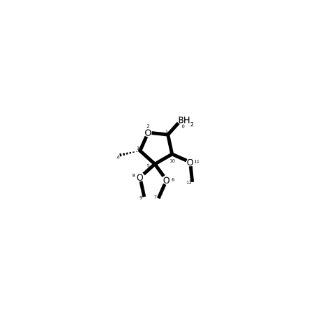 BC1O[C@@H](C)C(OC)(OC)C1OC